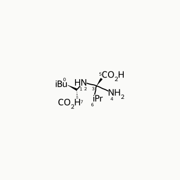 CC[C@H](C)[C@H](N[C@@](N)(C(=O)O)C(C)C)C(=O)O